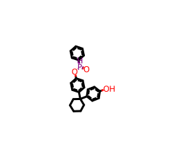 O=[PH](Oc1ccc(C2(c3ccc(O)cc3)CCCCC2)cc1)c1ccccc1